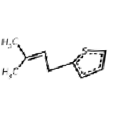 CC(C)=CCc1cccs1